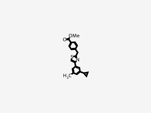 COC(=O)c1ccc(Cc2nc(-c3cc(C)cc(C4CC4)c3)cs2)cc1